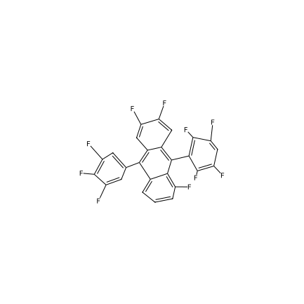 Fc1cc2c(-c3cc(F)c(F)c(F)c3)c3cccc(F)c3c(-c3c(F)c(F)cc(F)c3F)c2cc1F